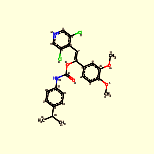 COc1ccc(C(=Cc2c(Cl)cncc2Cl)OC(=O)Nc2ccc(C(C)C)cc2)cc1OC